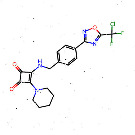 O=c1c(NCc2ccc(-c3noc(C(F)(F)Cl)n3)cc2)c(N2CCCCC2)c1=O